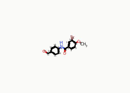 COc1ccc(C(=O)Nc2ccc(C=O)cc2)cc1Br